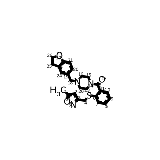 Cc1cc(CSc2ccccc2C(=O)N2CCN(Cc3ccc4c(c3)CCO4)CC2)no1